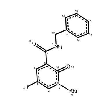 CCCCn1cc(I)cc(C(=O)NCc2ccccc2)c1=O